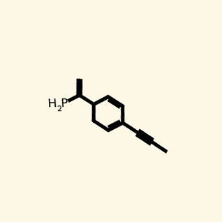 C=C(P)C1C=CC(C#CC)=CC1